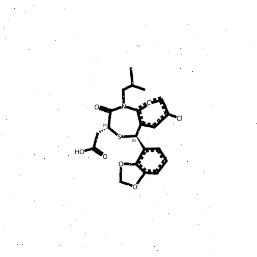 CC(C)CN1C(=O)[C@@H](CC(=O)O)S[C@H](c2cccc3c2OCO3)c2cc(Cl)ccc21